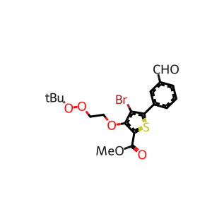 COC(=O)c1sc(-c2cccc(C=O)c2)c(Br)c1OCCOOC(C)(C)C